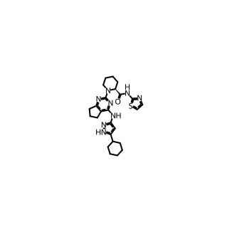 O=C(Nc1nccs1)[C@@H]1CCCCN1c1nc2c(c(Nc3cc(C4CCCCC4)[nH]n3)n1)CCC2